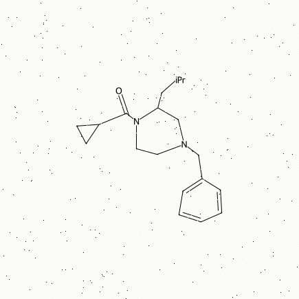 CC(C)CC1CN(Cc2ccccc2)CCN1C(=O)C1CC1